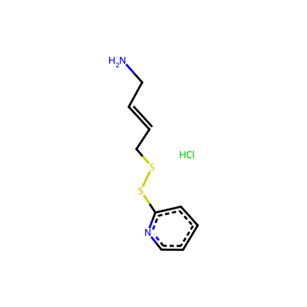 Cl.NCC=CCSSc1ccccn1